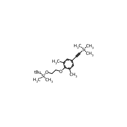 Cc1cc(C#C[Si](C)(C)C)cc(C)c1OCCO[Si](C)(C)C(C)(C)C